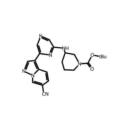 CC(C)(C)OC(=O)N1CCCC(Nc2cncc(-c3cnn4cc(C#N)ccc34)n2)C1